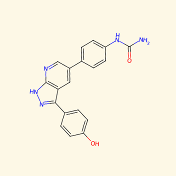 NC(=O)Nc1ccc(-c2cnc3[nH]nc(-c4ccc(O)cc4)c3c2)cc1